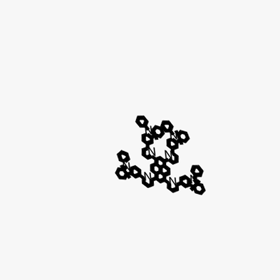 CC12CCCCC1(C)N(c1ccccc1)c1ccc(-c3cccc(-c4cc(-c5cccc(-c6ccc7c(c6)C6(C)CCCCC6(C)N7c6ccccc6)n5)c5ccc6c(-c7cccc(-c8ccc9c(c8)C8(C)CCCCC8(C)N9c8ccccc8)n7)cc(-c7cccc(-c8ccc9c(c8)C8(C)CCCCC8(C)N9c8ccccc8)n7)c7ccc4c5c76)n3)cc12